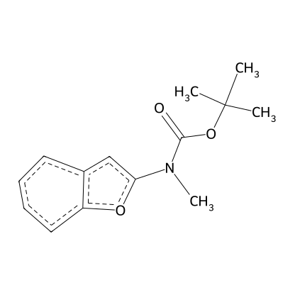 CN(C(=O)OC(C)(C)C)c1cc2ccccc2o1